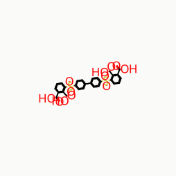 O=C(O)c1cccc(S(=O)(=O)c2ccc(-c3ccc(S(=O)(=O)c4cccc(C(=O)O)c4C(=O)O)cc3)cc2)c1C(=O)O